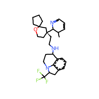 CC1C=CC=NC1[C@]1(CCNC2CCN3c4c(cccc42)CC3C(F)(F)F)CCOC2(CCCC2)C1